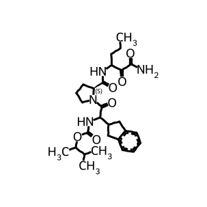 CCCC(NC(=O)[C@@H]1CCCN1C(=O)C(NC(=O)OC(C)C(C)C)C1Cc2ccccc2C1)C(=O)C(N)=O